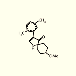 CON1CCC2(CC1)NC=C(c1cc(C)ccc1C)C2=O